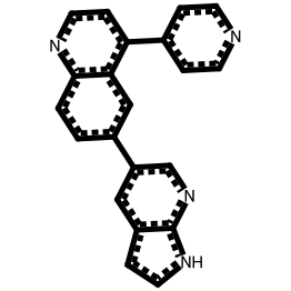 c1cc(-c2ccnc3ccc(-c4cnc5[nH]ccc5c4)cc23)ccn1